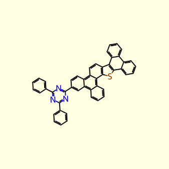 c1ccc(-c2nc(-c3ccccc3)nc(-c3ccc4c(c3)c3ccccc3c3c4ccc4c3sc3c5ccccc5c5ccccc5c43)n2)cc1